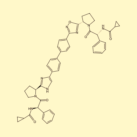 O=C(N[C@@H](C(=O)N1CCC[C@H]1c1nc(-c2ccc(-c3ccc(-c4noc([C@@H]5CCCN5C(=O)[C@H](NC(=O)C5CC5)c5ccccc5)n4)cc3)cc2)c[nH]1)c1ccccc1)C1CC1